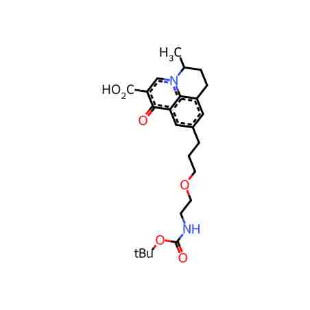 CC1CCc2cc(CCCOCCNC(=O)OC(C)(C)C)cc3c(=O)c(C(=O)O)cn1c23